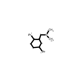 CC(C)C1CCC(C(C)C)C(CN(C)C)C1